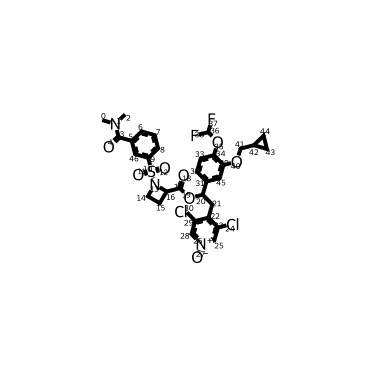 CN(C)C(=O)c1cccc(S(=O)(=O)N2CCC2C(=O)OC(Cc2c(Cl)c[n+]([O-])cc2Cl)c2ccc(OC(F)F)c(OCC3CC3)c2)c1